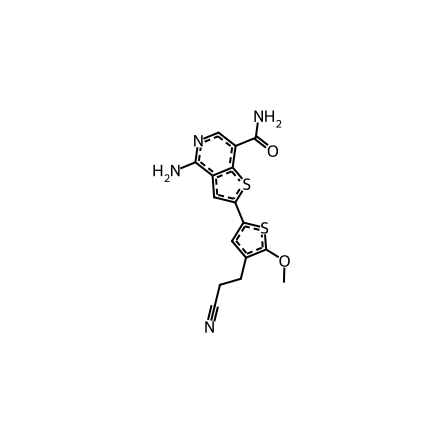 COc1sc(-c2cc3c(N)ncc(C(N)=O)c3s2)cc1CCC#N